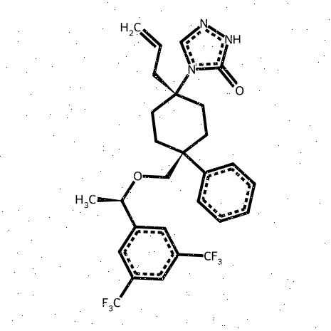 C=CC[C@]1(n2cn[nH]c2=O)CC[C@@](CO[C@H](C)c2cc(C(F)(F)F)cc(C(F)(F)F)c2)(c2ccccc2)CC1